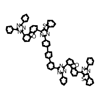 c1ccc(-c2nc(-c3ccccc3)nc(-c3cccc4oc5c(-c6nc(-c7ccc(-c8ccc(-c9cccc(-c%10nc(-c%11ccccc%11)nc(-c%11cccc%12oc%13c(-c%14nc(-c%15ccccc%15)nc%15c%14sc%14ccccc%14%15)cccc%13c%11%12)n%10)c9)cc8)cc7)nc7c6sc6ccccc67)cccc5c34)n2)cc1